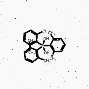 Cc1cccc(C)c1P(O)(O)(c1c(C)cccc1C)c1c(C)cccc1C